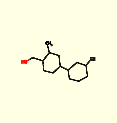 CC1CC(C2CCCC(C#N)C2)CCC1CO